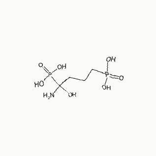 NC(O)(CCCP(=O)(O)O)P(=O)(O)O